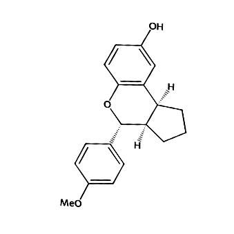 COc1ccc([C@@H]2Oc3ccc(O)cc3[C@H]3CCC[C@H]32)cc1